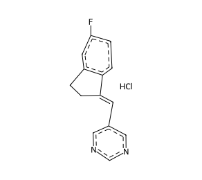 Cl.Fc1ccc2c(c1)CCC2=Cc1cncnc1